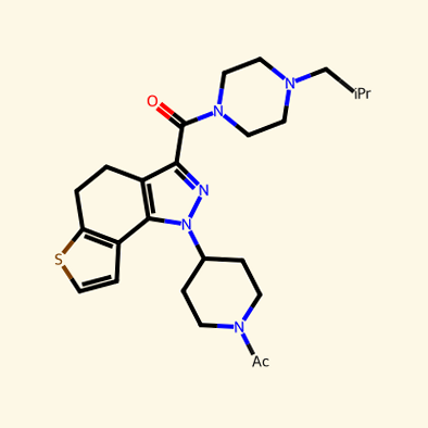 CC(=O)N1CCC(n2nc(C(=O)N3CCN(CC(C)C)CC3)c3c2-c2ccsc2CC3)CC1